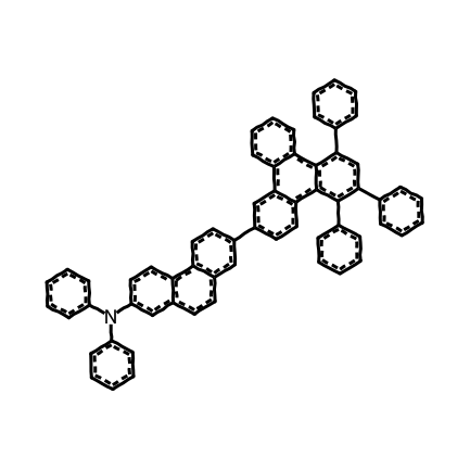 c1ccc(-c2cc(-c3ccccc3)c3c4ccccc4c4cc(-c5ccc6c(ccc7cc(N(c8ccccc8)c8ccccc8)ccc76)c5)ccc4c3c2-c2ccccc2)cc1